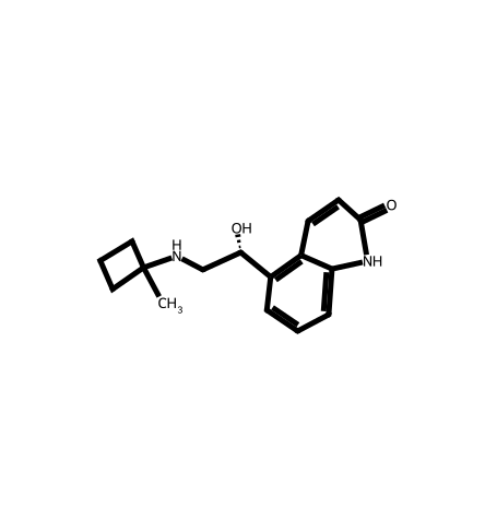 CC1(NC[C@H](O)c2cccc3[nH]c(=O)ccc23)CCC1